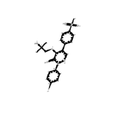 CC(C)(O)COc1c(-c2ccc(S(C)(=O)=O)cc2)cnn(-c2ccc(F)cc2)c1=O